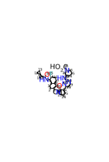 Cc1ccc2c(NC(=O)[C@H]3CC34CC4)c(F)ccc2c1Oc1ncccc1-c1ccnc(N[C@H]2CCCN(C(=O)O)C2)n1